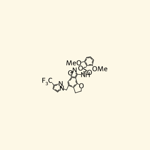 COc1cccc(OC)c1S(=O)(=O)Nc1noc2cc(Cn3ccc(C(F)(F)F)n3)c3c(c12)OCC3